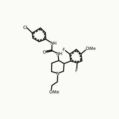 COCCN1CCC(NC(=O)Nc2ccc(Cl)cc2)C(c2c(F)cc(OC)cc2F)C1